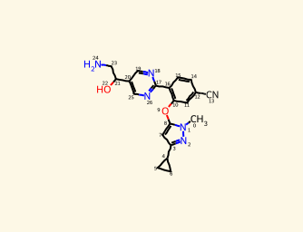 Cn1nc(C2CC2)cc1Oc1cc(C#N)ccc1-c1ncc(C(O)CN)cn1